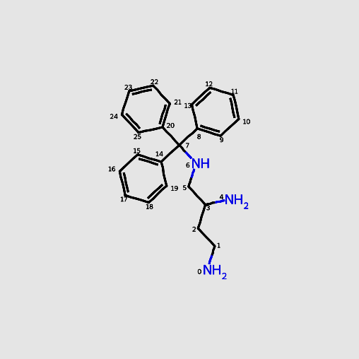 NCCC(N)CNC(c1ccccc1)(c1ccccc1)c1ccccc1